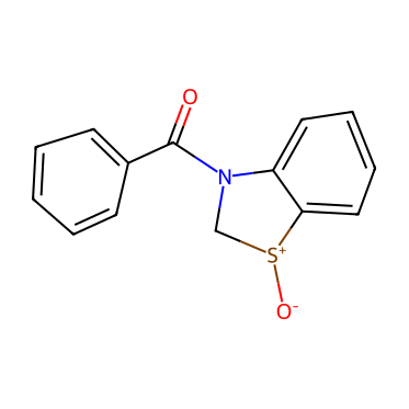 O=C(c1ccccc1)N1C[S+]([O-])c2ccccc21